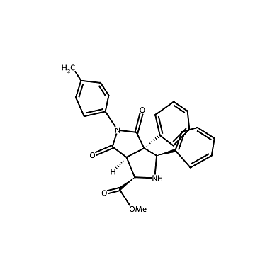 COC(=O)[C@@H]1N[C@H](c2ccccc2)[C@]2(c3ccccc3)C(=O)N(c3ccc(C)cc3)C(=O)[C@H]12